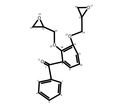 O=C(c1ccccc1)c1cccc(OCC2CO2)c1OCC1CO1